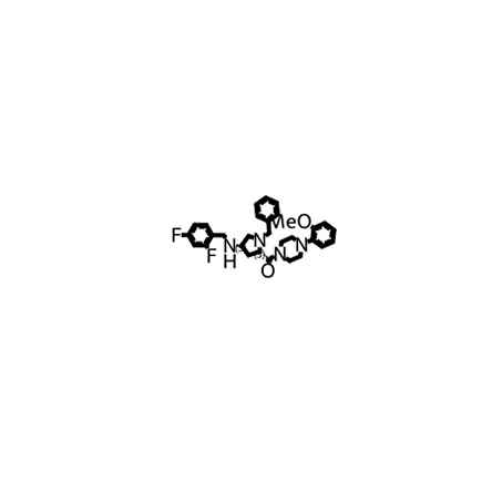 COc1ccccc1N1CCN(C(=O)[C@@H]2C[C@H](NCc3ccc(F)cc3F)CN2Cc2ccccc2)CC1